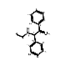 CCNC(C(=O)c1ccccc1)c1ccccc1